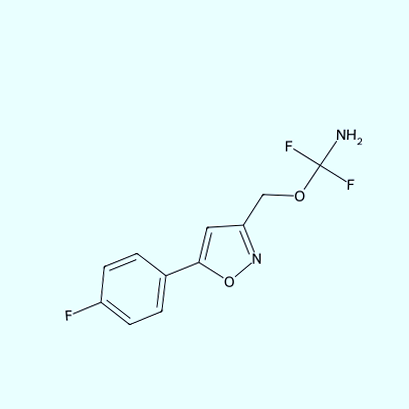 NC(F)(F)OCc1cc(-c2ccc(F)cc2)on1